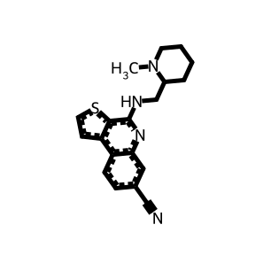 CN1CCCCC1CNc1nc2cc(C#N)ccc2c2ccsc12